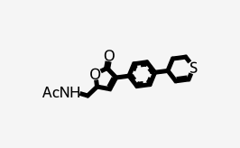 CC(=O)NCC1C=C(c2ccc(C3C=CSCC3)cc2)C(=O)O1